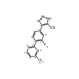 N#Cc1[nH]nnc1-c1ccc(-c2nccc(C(F)(F)F)n2)c(F)c1